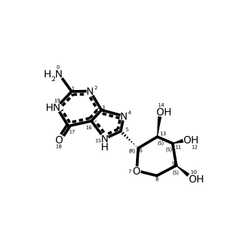 Nc1nc2nc([C@H]3OC[C@H](O)[C@H](O)[C@@H]3O)[nH]c2c(=O)[nH]1